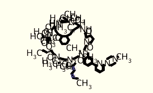 CC/C=C\C=C(/C)C[C@@H]1NC(=O)[C@H](C(C)C)N(C)C(=O)[C@@H](CCC)OC(=O)[C@H](C(C)(C)O)N(C)C(=O)[C@@H]2CC(C)C3(C)CCC(C)CC3C[C@H](C)[C@H](NC(=O)[C@@H]3CCCN3C(=O)[C@H](Cc3cccc(-c4cccc(N5CCN(C)CC5)n4)c3)N(C)C1=O)C(=O)N(C)[C@@H](C(C)C)C(=O)N2